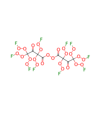 O=C(OOC(=O)C(OOF)(OOF)C(=O)C(OOF)(OOF)OOF)C(OOF)(OOF)C(=O)C(OOF)(OOF)OOF